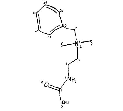 CCC(C)C(=O)NCC[N+](C)(C)Cc1ccccc1